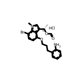 C[C@H](OC=O)c1cn(C)c2c(Br)ccc(OCCCc3ccccc3N)c12.Cl